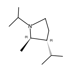 CC(C)[C@H]1CCN(C(C)C)[C@@H]1C